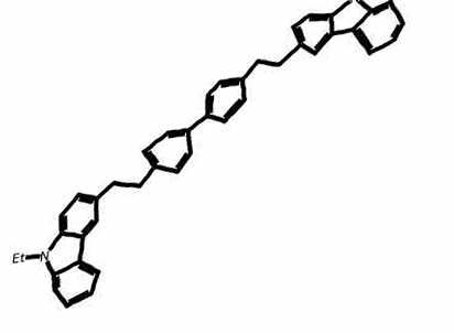 CCn1c2ccccc2c2cc(CCc3ccc(-c4ccc(CCc5ccc6c(c5)c5ccccc5n6CC)cc4)cc3)ccc21